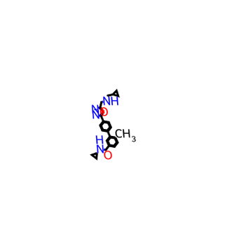 Cc1ccc(C(=O)NC2CC2)cc1-c1ccc(-c2nnc(CNCC3CC3)o2)cc1